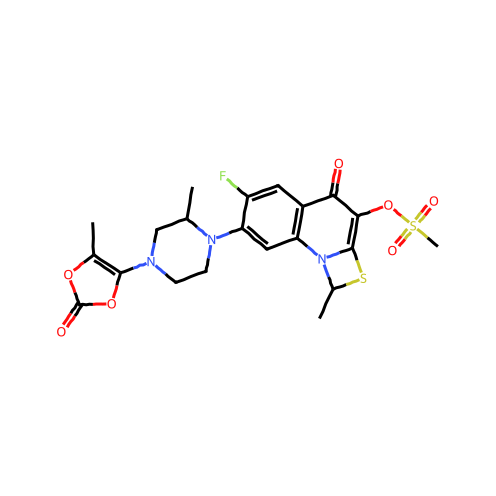 Cc1oc(=O)oc1N1CCN(c2cc3c(cc2F)c(=O)c(OS(C)(=O)=O)c2n3C(C)S2)C(C)C1